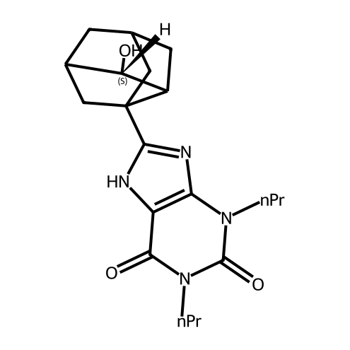 CCCn1c(=O)c2[nH]c(C34CC5CC(C3)[C@H](O)C4C5)nc2n(CCC)c1=O